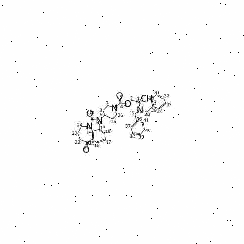 C[C@@H](COC(=O)N1CCC(n2c(=O)n3c4c(cccc42)C(=O)CCC3)CC1)N(Cc1ccccc1)Cc1ccccc1